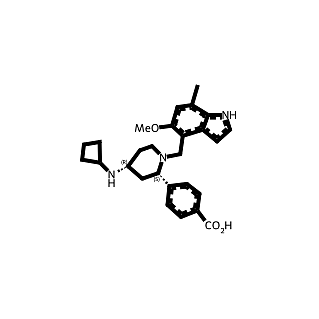 COc1cc(C)c2[nH]ccc2c1CN1CC[C@@H](NC2CCC2)C[C@H]1c1ccc(C(=O)O)cc1